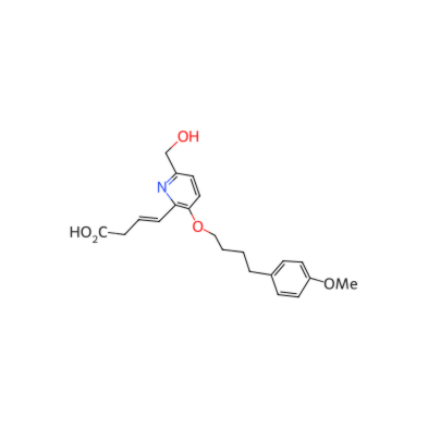 COc1ccc(CCCCOc2ccc(CO)nc2/C=C/CC(=O)O)cc1